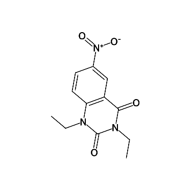 CCn1c(=O)c2cc([N+](=O)[O-])ccc2n(CC)c1=O